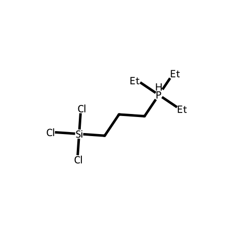 CC[PH](CC)(CC)CCC[Si](Cl)(Cl)Cl